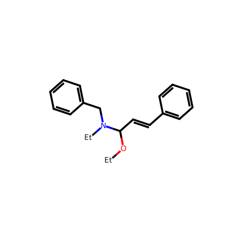 CCOC(C=Cc1ccccc1)N(CC)Cc1ccccc1